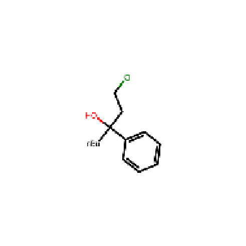 CCCCC(O)(CCCl)c1ccccc1